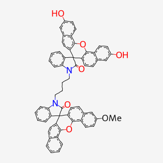 COc1ccc2c3c(ccc2c1)C1(C(=O)N(CCCCN2C(=O)C4(c5ccccc52)c2ccc5cc(O)ccc5c2Oc2c4ccc4cc(O)ccc24)c2ccccc21)c1ccc2ccccc2c1O3